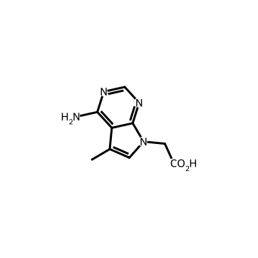 Cc1cn(CC(=O)O)c2ncnc(N)c12